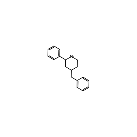 c1ccc(CC2CC[N]C(c3ccccc3)C2)cc1